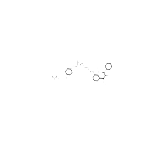 COc1ccc(CCN(C)CCCNC(=O)c2cccc3c(=O)c(C)c(-c4ccccc4)oc23)cc1